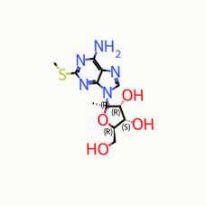 CSc1nc(N)c2ncn([C@]3(C)O[C@H](CO)[C@@H](O)[C@H]3O)c2n1